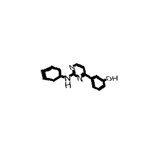 Oc1cccc(-c2ccnc(NC3CCCCC3)n2)c1